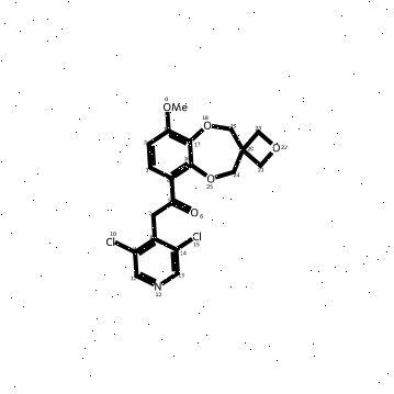 COc1ccc(C(=O)Cc2c(Cl)cncc2Cl)c2c1OCC1(COC1)CO2